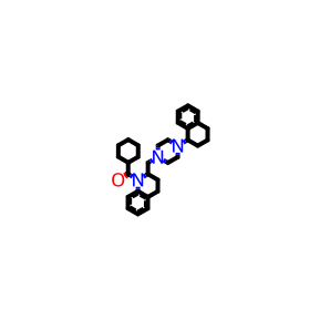 O=C(C1CCCCC1)N1c2ccccc2CCC1CN1CCN(C2CCCc3ccccc32)CC1